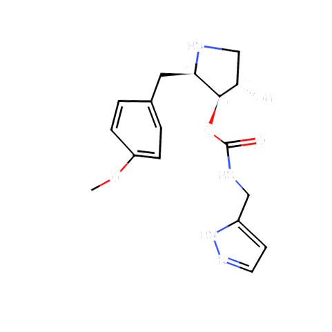 COc1ccc(C[C@H]2NC[C@H](O)[C@H]2OC(=O)NCc2ccn[nH]2)cc1